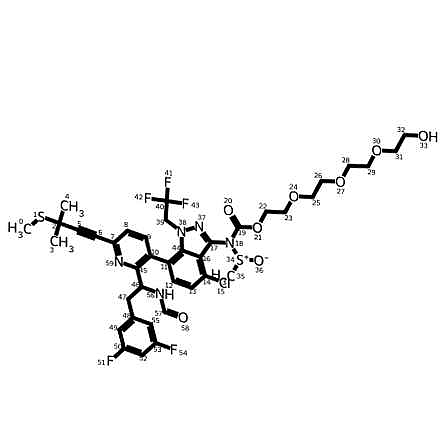 CSC(C)(C)C#Cc1ccc(-c2ccc(Cl)c3c(N(C(=O)OCCOCCOCCOCCO)[S+](C)[O-])nn(CC(F)(F)F)c23)c(C(Cc2cc(F)cc(F)c2)NC=O)n1